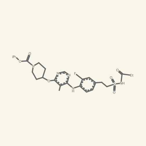 CCC(=O)NS(=O)(=O)CCc1ccc(Nc2ncnc(OC3CCN(C(=O)OC(C)C)CC3)c2C)c(F)c1